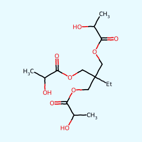 CCC(COC(=O)C(C)O)(COC(=O)C(C)O)COC(=O)C(C)O